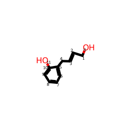 OCC=CCc1ccccc1O